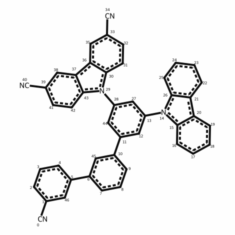 N#Cc1cccc(-c2cccc(-c3cc(-n4c5ccccc5c5ccccc54)cc(-n4c5ccc(C#N)cc5c5cc(C#N)ccc54)c3)c2)c1